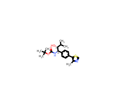 Cc1ncsc1-c1ccc([C@@H](NC(=O)OC(C)(C)C)[C@H](O)C(C)C)cc1